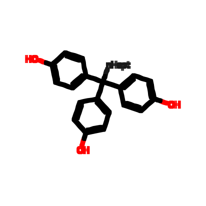 CCCCCCCC(c1ccc(O)cc1)(c1ccc(O)cc1)c1ccc(O)cc1